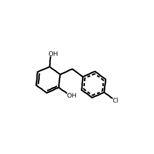 OC1=CC=CC(O)C1Cc1ccc(Cl)cc1